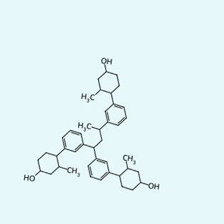 CC(CC(c1cccc(C2CCC(O)CC2C)c1)c1cccc(C2CCC(O)CC2C)c1)c1cccc(C2CCC(O)CC2C)c1